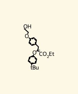 CCOC(=O)[C@H](Cc1ccc(OCCO)cc1)Oc1ccc(C(C)(C)C)cc1